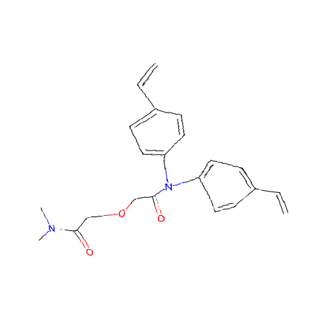 C=Cc1ccc(N(C(=O)COCC(=O)N(C)C)c2ccc(C=C)cc2)cc1